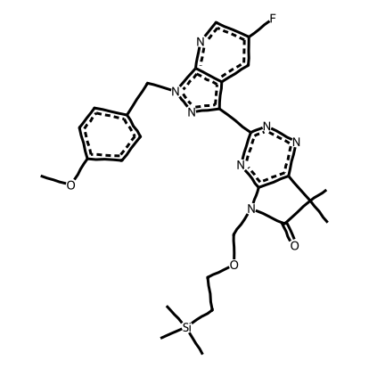 COc1ccc(Cn2nc(-c3nnc4c(n3)N(COCC[Si](C)(C)C)C(=O)C4(C)C)c3cc(F)cnc32)cc1